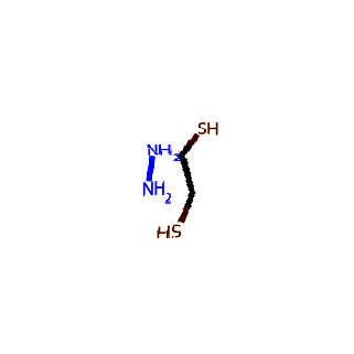 NN.SCCS